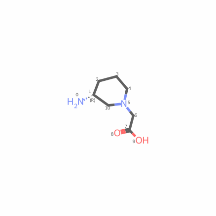 N[C@@H]1CCCN(CC(=O)O)C1